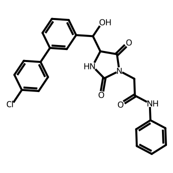 O=C(CN1C(=O)NC(C(O)c2cccc(-c3ccc(Cl)cc3)c2)C1=O)Nc1ccccc1